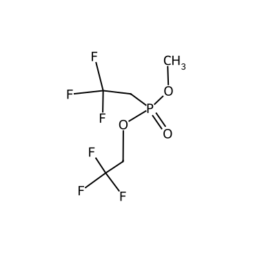 COP(=O)(CC(F)(F)F)OCC(F)(F)F